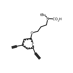 C#Cc1cc(C#C)cc(OCCCN(C(=O)O)C(C)(C)C)c1